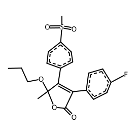 CCCOC1(C)OC(=O)C(c2ccc(F)cc2)=C1c1ccc(S(C)(=O)=O)cc1